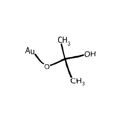 CC(C)(O)[O][Au]